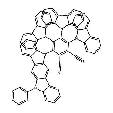 N#Cc1c(C#N)c(-n2c3ccccc3c3cc4c(cc32)c2ccccc2n4-c2ccccc2)c(-n2c3ccccc3c3ccccc32)c(-n2c3ccccc3c3ccccc32)c1-n1c2ccccc2c2ccccc21